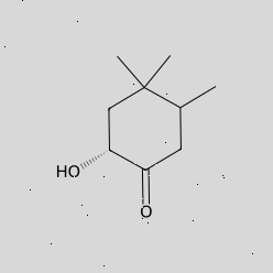 CC1CC(=O)[C@H](O)CC1(C)C